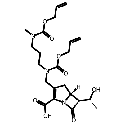 C=CCOC(=O)N(C)CCCN(CC1=C(C(=O)O)N2C(=O)[C@H]([C@@H](C)O)[C@H]2C1)C(=O)OCC=C